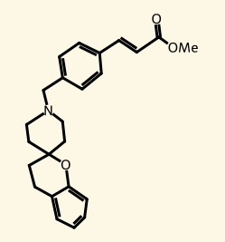 COC(=O)C=Cc1ccc(CN2CCC3(CCc4ccccc4O3)CC2)cc1